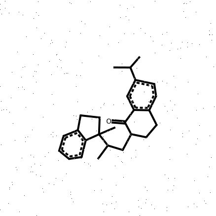 CC(C)c1ccc2c(c1)C(=O)C(CC(C)C1(C)CCc3ccccc31)CC2